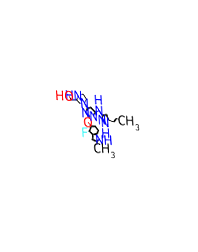 C/C=C/c1cc(Nc2cc(N3CCNC(CO)C3)nc(Oc3ccc4[nH]c(C)cc4c3F)n2)n[nH]1